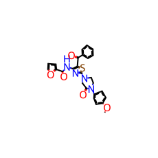 COc1ccc(N2CCN(c3nc(NC(=O)c4ccco4)c(C(=O)c4ccccc4)s3)CC2=O)cc1